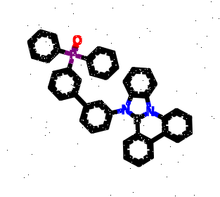 O=P(c1ccccc1)(c1ccccc1)c1cccc(-c2cccc(N3B4c5ccccc5-c5ccccc5N4c4ccccc43)c2)c1